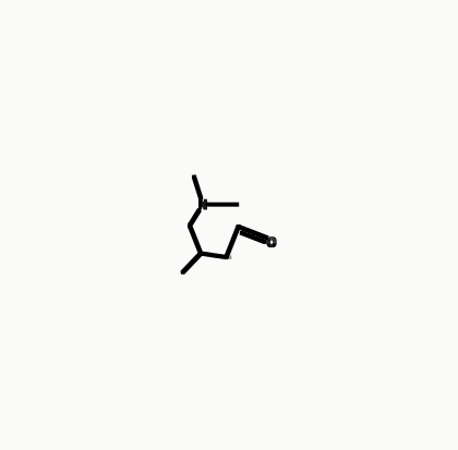 CC([CH]C=O)CN(C)C